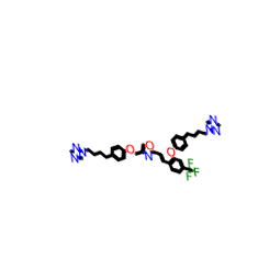 FC(F)(F)c1ccc(C=Cc2nc(COc3ccc(CCCCn4cncn4)cc3)co2)c(Oc2ccc(CCCCn3cncn3)cc2)c1